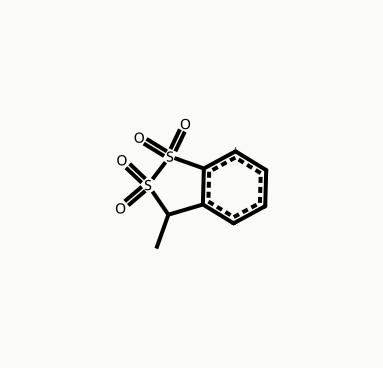 CC1c2ccc[c]c2S(=O)(=O)S1(=O)=O